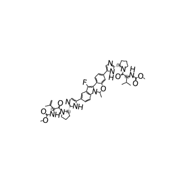 C=C(C)[C@H](NC(=O)OC)C(=O)N1CCC[C@H]1c1ncc(-c2ccc3c(c2)c(F)c2n3C(C)Oc3cc(-c4cnc([C@@H]5CCCN5C(=O)[C@@H](NC(=O)OC)C(C)C)[nH]4)ccc3-2)[nH]1